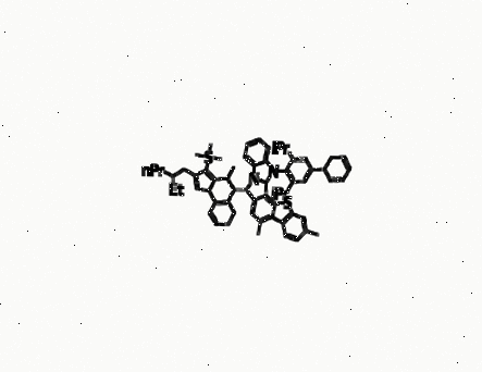 CCCC(CC)CC1=CC2C3=C(CCC=C3)C(C3c4cc(C)c5c(sc6cc(C)ccc65)c4C4N(c5c(C(C)C)cc(C6C=CC=CC6)cc5C(C)C)c5ccccc5N34)C(C)C2=C1S(C)(C)C